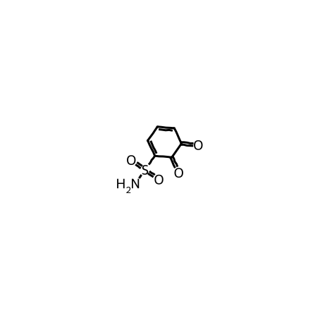 NS(=O)(=O)C1=CC=CC(=O)C1=O